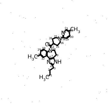 CCCCc1nc2c([nH]1)CCN(C(=O)C1CCN(c3ccc(C)cn3)CC1)c1ccc(C)cc1-2